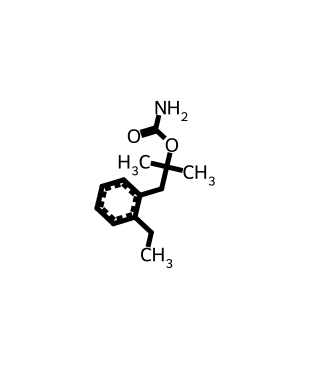 CCc1ccccc1CC(C)(C)OC(N)=O